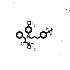 CNC(=O)[C@H](c1ccccc1)N(CCCc1ccc(C(F)(F)F)cc1)c1ccc(C)cc1